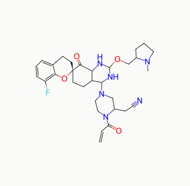 C=CC(=O)N1CCN(C2NC(OCC3CCCN3C)NC3C(=O)[C@]4(CCc5cccc(F)c5O4)CCC32)CC1CC#N